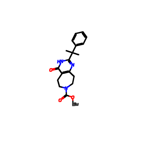 CC(C)(C)OC(=O)N1CCc2nc(C(C)(C)c3ccccc3)[nH]c(=O)c2CC1